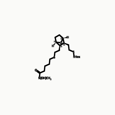 CCCCCCSCC[C@H]1[C@@H](CCSCCCCC(=O)N(C)O)[C@H]2CC[C@@H]1O2